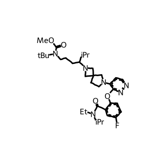 CCN(C(=O)c1cc(F)ccc1Oc1nnccc1N1CCC2(C1)CN(C(CCCN(C(=O)OC)C(C)(C)C)C(C)C)C2)C(C)C